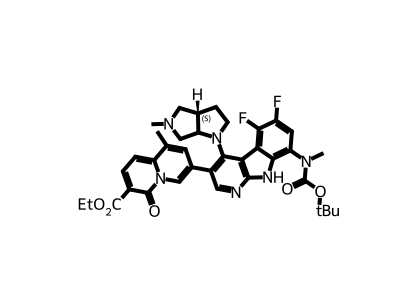 CCOC(=O)c1ccc2c(C)cc(-c3cnc4[nH]c5c(N(C)C(=O)OC(C)(C)C)cc(F)c(F)c5c4c3N3CC[C@H]4CN(C)CC43)cn2c1=O